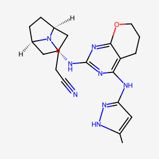 Cc1cc(Nc2nc(N[C@@H]3C[C@H]4CC[C@@H](C3)N4CCC#N)nc3c2CCCO3)n[nH]1